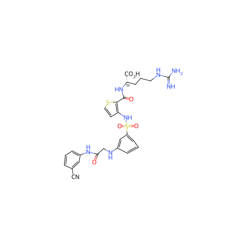 N#Cc1cccc(NC(=O)CNc2cccc(S(=O)(=O)Nc3ccsc3C(=O)N[C@@H](CCCNC(=N)N)C(=O)O)c2)c1